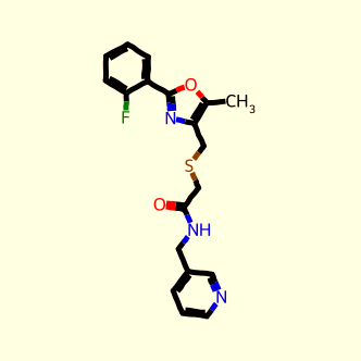 Cc1oc(-c2ccccc2F)nc1CSCC(=O)NCc1cccnc1